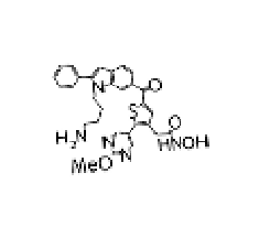 COc1ncc(-c2sc(C(=O)c3ccc4cc(-c5ccccc5)n(CCCCN)c4c3)cc2CC(=O)NO)cn1